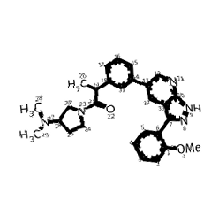 COc1ccccc1-c1n[nH]c2ncc(-c3cccc(C(C)C(=O)N4CCC(N(C)C)C4)c3)cc12